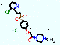 CN1CCN(C(=O)COc2ccc(S(=O)(=O)/C=C/c3ncccc3Cl)cc2)CC1.Cl